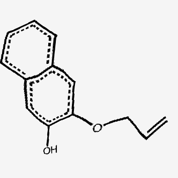 C=CCOc1cc2ccccc2cc1O